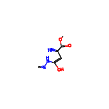 C=NN/C(O)=C\C(=N)C(=O)OC